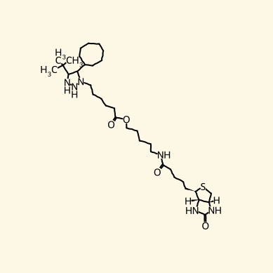 CC(C)(C)C1NNN(CCCCCC(=O)OCCCCCNC(=O)CCCC[C@H]2SC[C@@H]3NC(=O)N[C@@H]32)C1C1CCCCCCC1